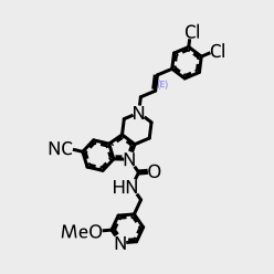 COc1cc(CNC(=O)n2c3c(c4cc(C#N)ccc42)CN(C/C=C/c2ccc(Cl)c(Cl)c2)CC3)ccn1